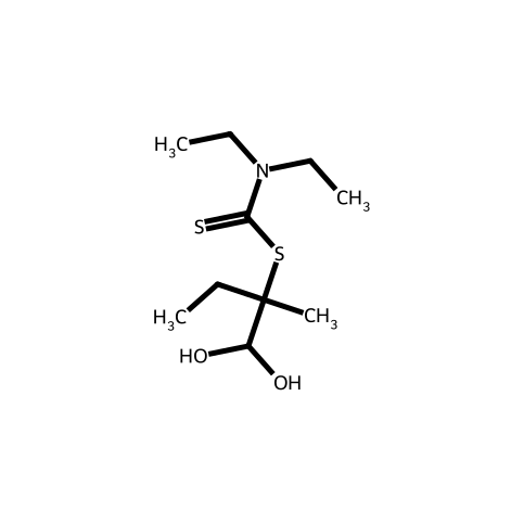 CCN(CC)C(=S)SC(C)(CC)C(O)O